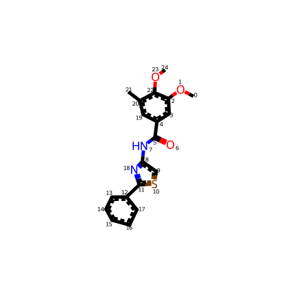 COc1cc(C(=O)Nc2csc(-c3ccccc3)n2)cc(C)c1OC